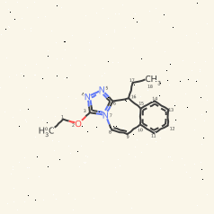 CCOc1nnc2n1C=Cc1ccccc1C2CC